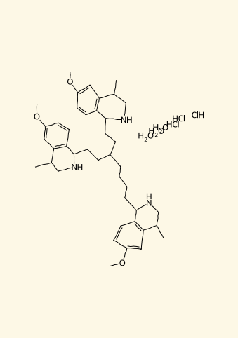 COc1ccc2c(c1)C(C)CNC2CCCCC(CCC1NCC(C)c2cc(OC)ccc21)CCC1NCC(C)c2cc(OC)ccc21.Cl.Cl.Cl.O.O.O